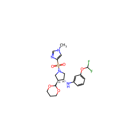 Cn1cnc(S(=O)(=O)N2C[C@H](Nc3cccc(OC(F)F)c3)[C@@H](C3OCCCO3)C2)c1